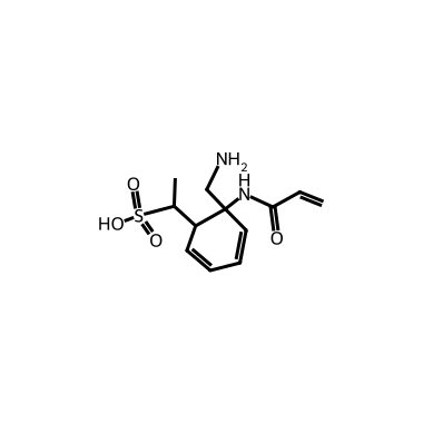 C=CC(=O)NC1(CN)C=CC=CC1C(C)S(=O)(=O)O